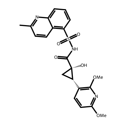 COc1ccc([C@@H]2C[C@@]2(O)C(=O)NS(=O)(=O)c2cccc3nc(C)ccc23)c(OC)n1